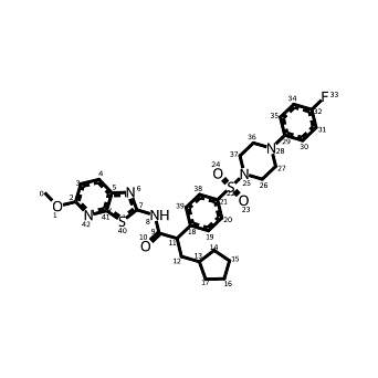 COc1ccc2nc(NC(=O)C(CC3CCCC3)c3ccc(S(=O)(=O)N4CCN(c5ccc(F)cc5)CC4)cc3)sc2n1